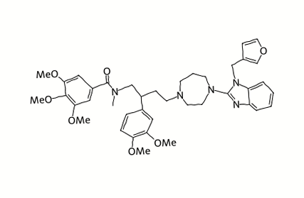 COc1ccc(C(CCN2CCCN(c3nc4ccccc4n3Cc3ccoc3)CC2)CN(C)C(=O)c2cc(OC)c(OC)c(OC)c2)cc1OC